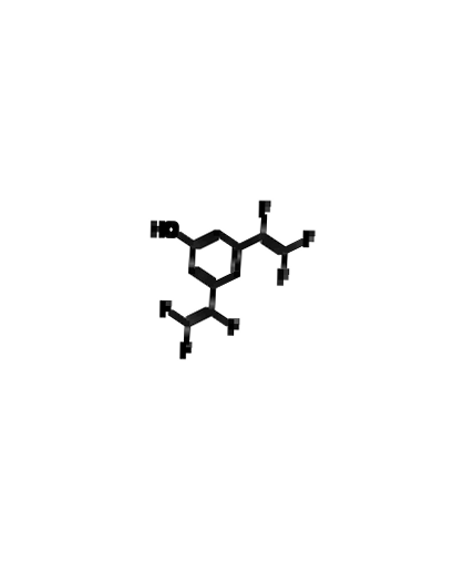 Oc1cc(C(F)=C(F)F)cc(C(F)=C(F)F)c1